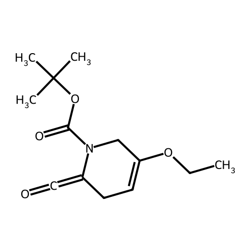 CCOC1=CCC(=C=O)N(C(=O)OC(C)(C)C)C1